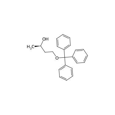 C[C@@H](O)CCOC(c1ccccc1)(c1ccccc1)c1ccccc1